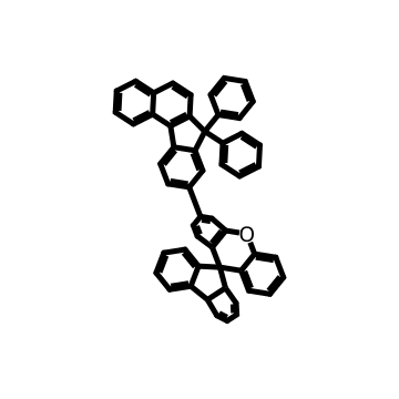 C1=CC2c3ccccc3C3(c4ccccc4Oc4cc(-c5ccc6c(c5)C(c5ccccc5)(c5ccccc5)c5ccc7ccccc7c5-6)ccc43)C2C=C1